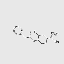 CC(C)(C)N(C(=O)O)C1CCC(OC(F)Cc2ccccc2)C(F)C1